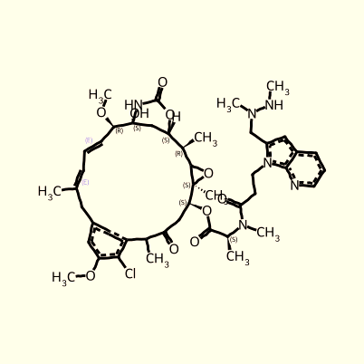 CNN(C)Cc1cc2cccnc2n1CCC(=O)N(C)[C@@H](C)C(=O)O[C@H]1CC(=O)C(C)c2cc(cc(OC)c2Cl)C/C(C)=C/C=C/[C@@H](OC)[C@@]2(O)C[C@H](OC(=O)N2)[C@@H](C)C2O[C@]21C